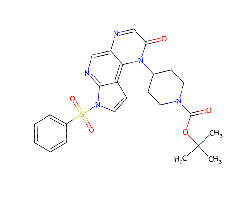 CC(C)(C)OC(=O)N1CCC(n2c(=O)cnc3cnc4c(ccn4S(=O)(=O)c4ccccc4)c32)CC1